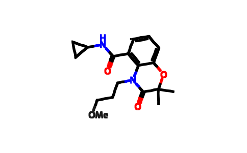 COCCCN1C(=O)C(C)(C)Oc2cc[c]c(C(=O)NC3CC3)c21